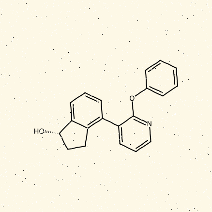 O[C@H]1CCc2c(-c3cccnc3Oc3ccccc3)cccc21